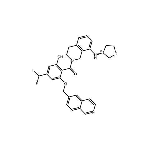 O=C(c1c(O)cc(C(F)F)cc1OCc1ccc2cnccc2c1)N1CCc2cccc(N[C@H]3CCOC3)c2C1